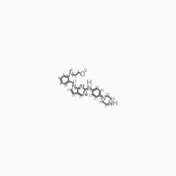 COCCN(C)c1ccccc1Cn1ccc2cnc(Nc3ccc(N4CCNCC4)cc3)nc21